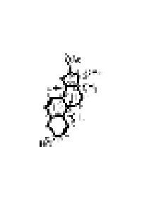 CC(=O)O[C@@H]1C[C@H]2[C@@H]3C=CC4C[C@@H](O)C=C[C@]4(C)[C@H]3CC[C@]2(C)[C@H]1OC(C)=O